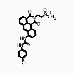 CN(C)CCN1C(=O)c2cccc3cc4c(NC(=S)Nc5ccc(Cl)cc5)cccc4c(c23)C1=O